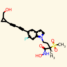 CC(CCn1ccc2cc(C#CC#CC3CC3CO)c(F)cc21)(C(=O)NO)S(C)(=O)=O